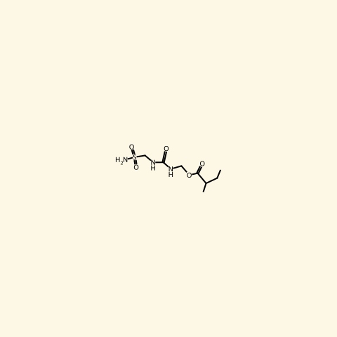 CCC(C)C(=O)OCNC(=O)NCS(N)(=O)=O